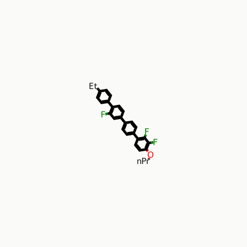 CCCOc1ccc(-c2ccc(-c3ccc(-c4ccc(CC)cc4)c(F)c3)cc2)c(F)c1F